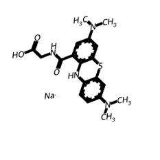 CN(C)c1ccc2c(c1)Sc1cc(N(C)C)cc(C(=O)NCC(=O)O)c1N2.[Na]